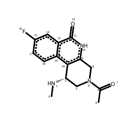 CN[C@H]1CN(C(C)=O)Cc2[nH]c(=O)c3cc(F)ccc3c21